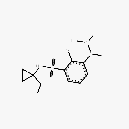 CCN(c1cccc(S(=O)(=O)NC2(CF)CC2)c1N=O)N(C)C